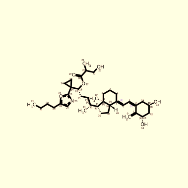 C=C1/C(=C\C=C2/CCC[C@]3(C)[C@@H]([C@H](C)CC[C@@H](OC(=O)C(C)CO)C4(c5ncc(CCCC)o5)CC4)CC[C@@H]23)C[C@@H](O)C[C@@H]1O